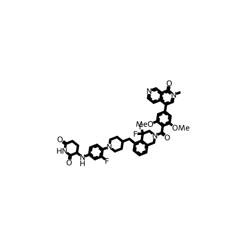 COc1cc(-c2cn(C)c(=O)c3cnccc23)cc(OC)c1C(=O)N1Cc2cccc(CC3CCN(c4ccc(NC5CCC(=O)NC5=O)cc4F)CC3)c2C(F)(F)C1